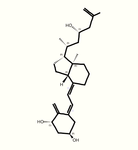 C=C(C)C[C@@H](O)C[C@@H](C)[C@H]1CC[C@H]2/C(=C/C=C3/C[C@@H](O)C[C@H](O)C3=C)CCC[C@]12C